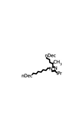 CCCCCCCCCCCCCCCCCn1cc(C(C)C)nc1C(C)CCCCCCCCCCCCC